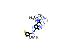 COc1ccc(F)cc1C(=O)NCc1ccc(-c2nn(C(C)C(F)(F)F)c(N)c2C#N)c2[nH]ncc12